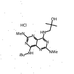 CCC(C)Nc1nc(NC)nc2c(NCC(C)(C)O)nc(NC)nc12.Cl